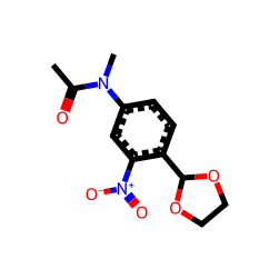 CC(=O)N(C)c1ccc(C2OCCO2)c([N+](=O)[O-])c1